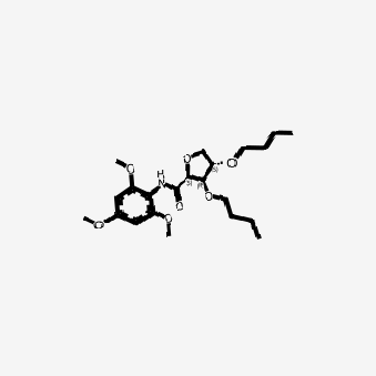 CCCCO[C@@H]1[C@@H](OCCCC)CO[C@@H]1C(=O)Nc1c(OC)cc(OC)cc1OC